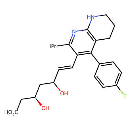 CC(C)c1nc2c(c(-c3ccc(F)cc3)c1C=CC(O)C[C@@H](O)CC(=O)O)CCCN2